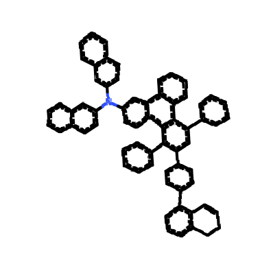 C1=Cc2c(cccc2-c2ccc(-c3cc(-c4ccccc4)c4c5ccccc5c5cc(N(c6ccc7ccccc7c6)c6ccc7ccccc7c6)ccc5c4c3-c3ccccc3)cc2)CC1